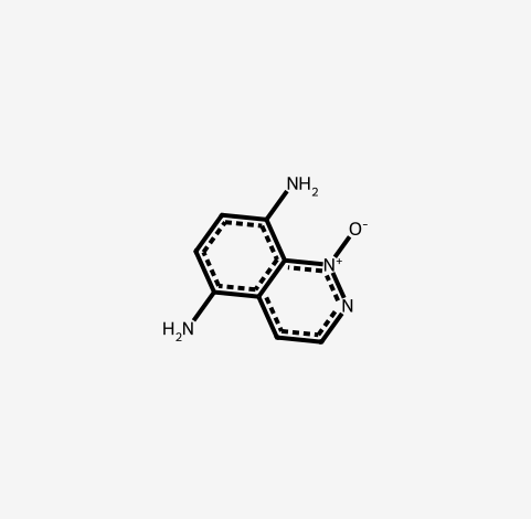 Nc1ccc(N)c2c1ccn[n+]2[O-]